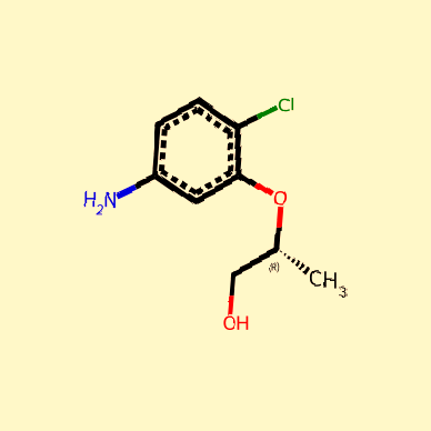 C[C@H](CO)Oc1cc(N)ccc1Cl